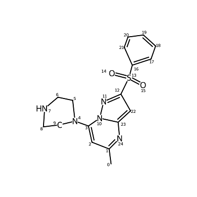 Cc1cc(N2CCNCC2)n2nc(S(=O)(=O)c3ccccc3)cc2n1